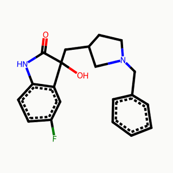 O=C1Nc2ccc(F)cc2C1(O)CC1CCN(Cc2ccccc2)C1